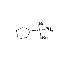 CC(C)(C)C(P)(C1CCCC1)C(C)(C)C